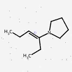 CC/C=C(\CC)N1CCCC1